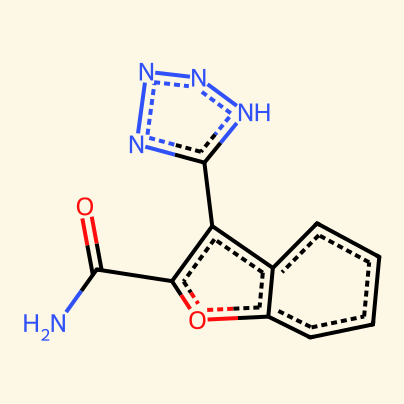 NC(=O)c1oc2ccccc2c1-c1nnn[nH]1